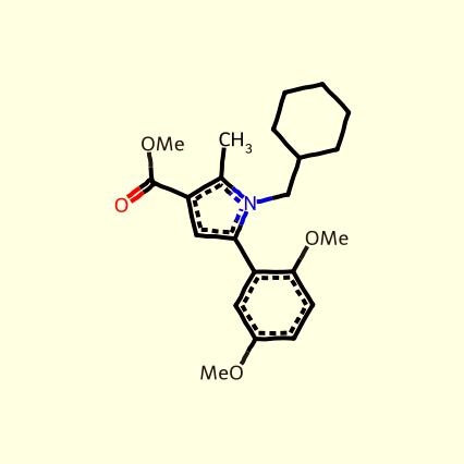 COC(=O)c1cc(-c2cc(OC)ccc2OC)n(CC2CCCCC2)c1C